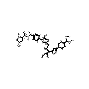 COC(=O)C(c1cc(N2CCC(C(OC)OC)CC2)no1)C(C)Cc1cn(-c2ccc([C@H](C)NC(=O)[C@@H]3C[C@@H](O)CN3)cc2)c(C)n1